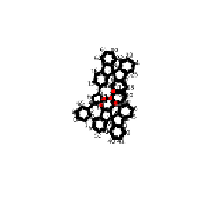 c1ccc(C2=NN(c3ccccc3)C(c3ccc4c(c3)C3(c5ccccc5-c5ccc(-c6ccc7c(c6)C6(c8ccccc8-c8ccccc86)c6ccccc6-7)cc53)c3ccccc3-4)C2)cc1